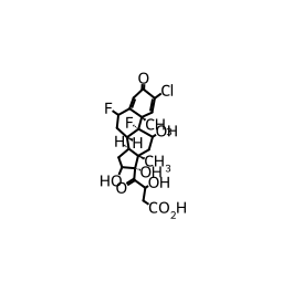 C[C@]12C=C(Cl)C(=O)C=C1C(F)C[C@H]1[C@@H]3CC(O)[C@](O)(C(=O)C(O)CC(=O)O)[C@@]3(C)CC(O)[C@@]12F